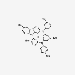 CC(C)(C)c1ccc(N(c2ccc(C(C)(C)C)cc2)c2cc(C(C)(C)C)cc(N(c3cccc(C(C)(C)C)c3)c3ccc4c(c3)oc3ccc(C(C)(C)C)cc34)c2Cl)cc1